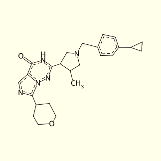 CC1CN(Cc2ccc(C3CC3)cc2)CC1c1nn2c(C3CCOCC3)ncc2c(=O)[nH]1